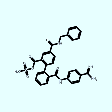 CS(=O)(=O)OC(=O)c1cc(C(=O)NCc2ccccc2)ccc1-c1ccccc1C(=O)Nc1ccc(C(=N)N)cc1